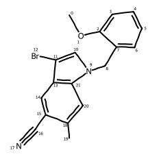 COc1ccccc1Cn1cc(Br)c2cc(C#N)c(C)cc21